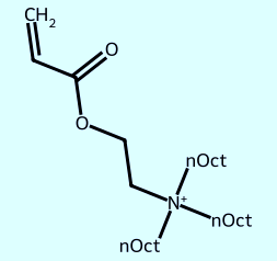 C=CC(=O)OCC[N+](CCCCCCCC)(CCCCCCCC)CCCCCCCC